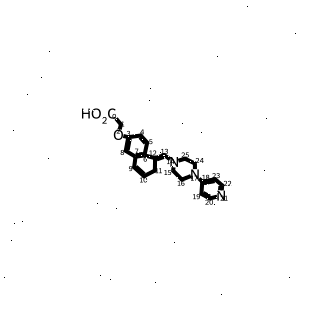 O=C(O)COc1ccc2c(c1)C=CCC2=CN1CCN(c2ccncc2)CC1